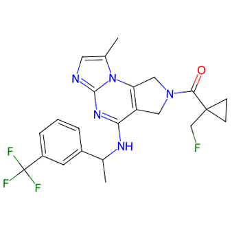 Cc1cnc2nc(NC(C)c3cccc(C(F)(F)F)c3)c3c(n12)CN(C(=O)C1(CF)CC1)C3